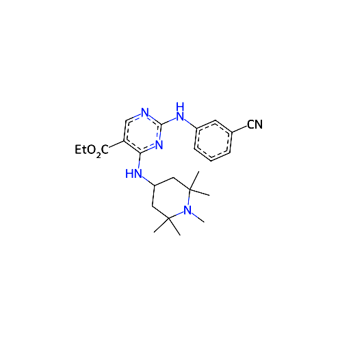 CCOC(=O)c1cnc(Nc2cccc(C#N)c2)nc1NC1CC(C)(C)N(C)C(C)(C)C1